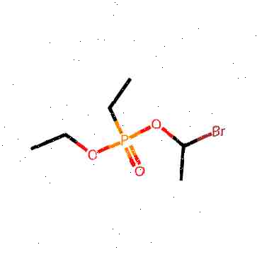 CCOP(=O)(CC)OC(C)Br